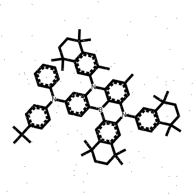 Cc1cc2c3c(c1)N(c1cc4c(cc1C)C(C)(C)CCC4(C)C)c1cc(N(c4ccccc4)c4ccc(C(C)(C)C)cc4)ccc1B3c1cc3c(cc1N2c1ccc2c(c1)C(C)(C)CCC2(C)C)C(C)(C)CCC3(C)C